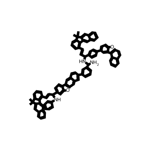 CC1(C)c2cc3ccccc3cc2-c2c(/C=C/C(Nc3ccccc3)c3ccc4c(c3)oc3cc5cc(-c6cccc(C(N)NC(/C=C/c7cccc8c7-c7cc9ccccc9cc7C8(C)C)c7ccc(-c8ccc9oc%10ccc%11ccccc%11c%10c9c8)cc7)c6)ccc5cc34)cccc21